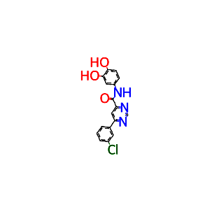 O=C(Nc1ccc(O)c(O)c1)c1cc(-c2cccc(Cl)c2)ncn1